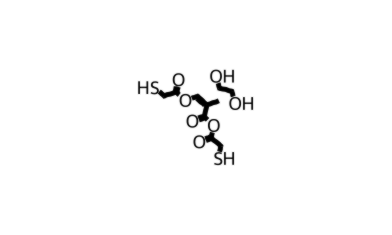 CC(=COC(=O)CS)C(=O)OC(=O)CS.OCCO